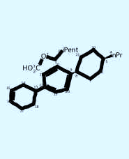 CCCC(C)COC(=O)O.CCC[C@H]1CC[C@H](c2ccc(C3CC=CCC3)cc2)CC1